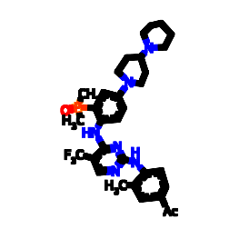 CC(=O)c1ccc(Nc2ncc(C(F)(F)F)c(Nc3ccc(N4CCC(N5CCCCC5)CC4)cc3P(C)(C)=O)n2)c(C)c1